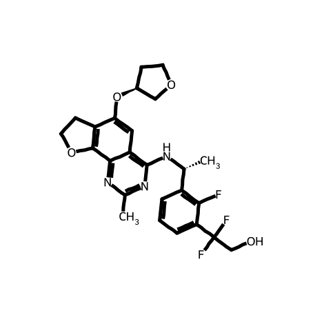 Cc1nc(N[C@H](C)c2cccc(C(F)(F)CO)c2F)c2cc(O[C@H]3CCOC3)c3c(c2n1)OCC3